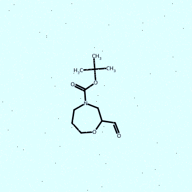 CC(C)(C)OC(=O)N1CCCOC(C=O)C1